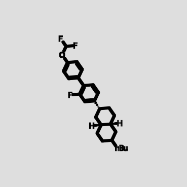 CCCCC1CC[C@@H]2C[C@H](c3ccc(-c4ccc(OC(F)F)cc4)c(F)c3)CC[C@@H]2C1